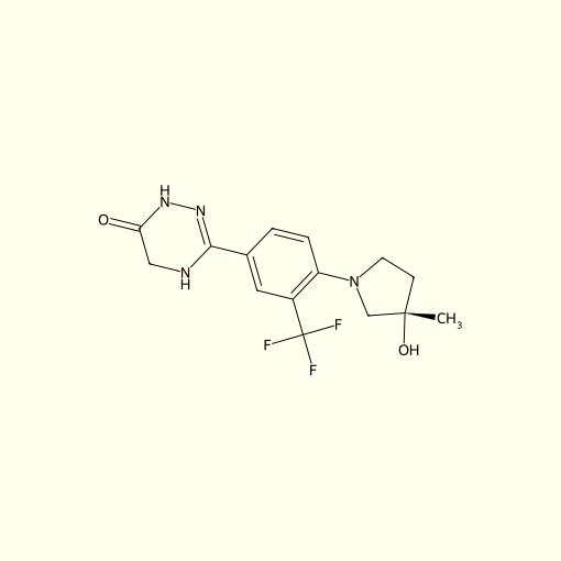 C[C@]1(O)CCN(c2ccc(C3=NNC(=O)CN3)cc2C(F)(F)F)C1